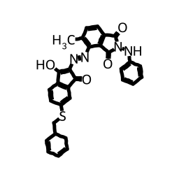 Cc1ccc2c(c1N=NC1=C(O)c3ccc(SCC4C=CC=CC4)cc3C1=O)C(=O)N(Nc1ccccc1)C2=O